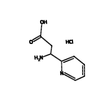 Cl.NC(CC(=O)O)c1ccccn1